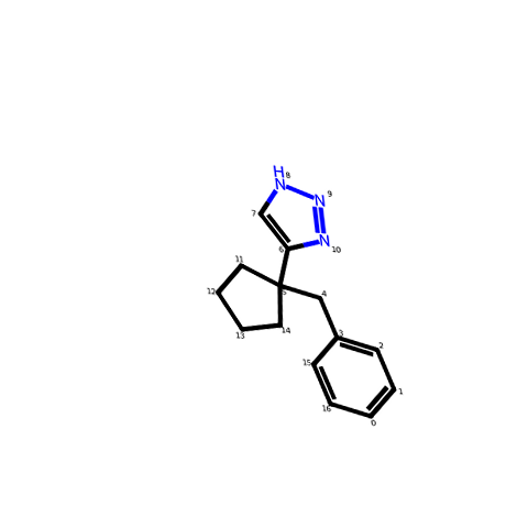 c1ccc(CC2(c3c[nH]nn3)CCCC2)cc1